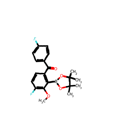 COc1c(F)ccc(C(=O)c2ccc(F)cc2)c1B1OC(C)(C)C(C)(C)O1